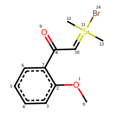 COc1ccccc1C(=O)C=[S](C)(C)Br